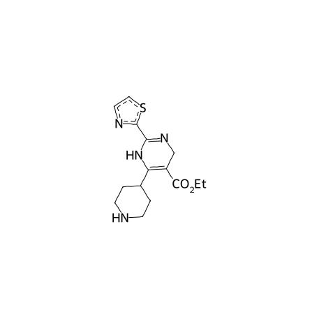 CCOC(=O)C1=C(C2CCNCC2)NC(c2nccs2)=NC1